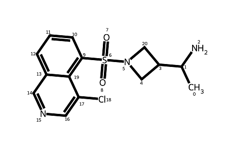 CC(N)C1CN(S(=O)(=O)c2cccc3cncc(Cl)c23)C1